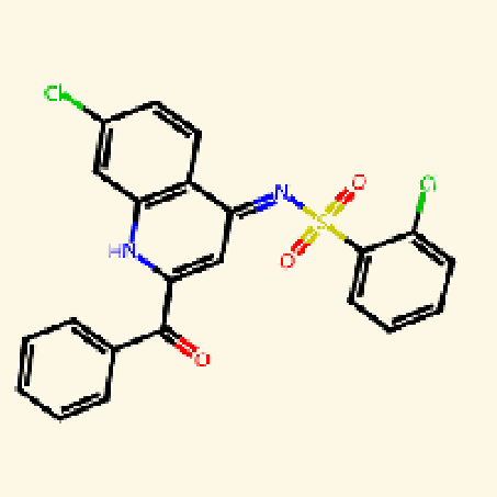 O=C(c1ccccc1)c1cc(=NS(=O)(=O)c2ccccc2Cl)c2ccc(Cl)cc2[nH]1